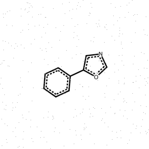 [c]1ccc(-c2cnco2)cc1